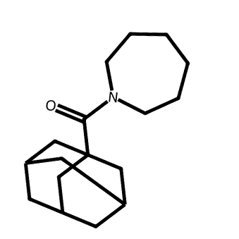 O=C(N1CCCCCC1)C12CC3CC(CC(C3)C1)C2